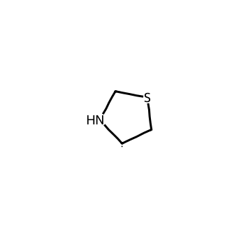 [CH]1CSCN1